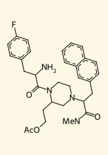 CNC(=O)C(Cc1ccc2ccccc2c1)N1CCN(C(=O)C(N)Cc2ccc(F)cc2)C(CCOC(C)=O)C1